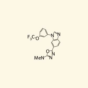 CNc1nnc(-c2ccc3ncn(-c4cccc(OC(F)(F)F)c4)c3c2)o1